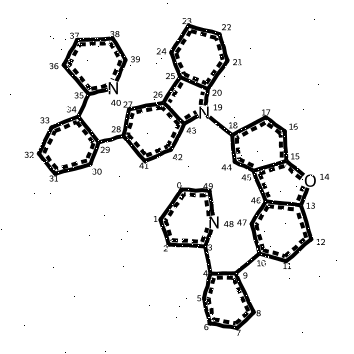 c1ccc(-c2ccccc2-c2ccc3oc4ccc(-n5c6ccccc6c6cc(-c7ccccc7-c7ccccn7)ccc65)cc4c3c2)nc1